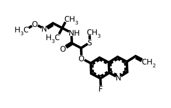 C=Cc1cnc2c(F)cc(OC(SC)C(=O)NC(C)(C)/C=N/OC)cc2c1